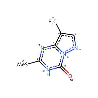 CSc1nc2c(C(F)(F)F)cnn2c(=O)[nH]1